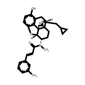 Cc1cccc(C=CC(=O)N(C)[C@H]2CC[C@H]3[C@H]4Cc5c(O)ccc6c5[C@@]3(CCN4CC3CC3)[C@H]2O6)c1